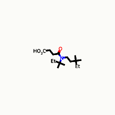 CCC(C)(C)CCN(C(=O)CCC(=O)O)C(C)(C)CC